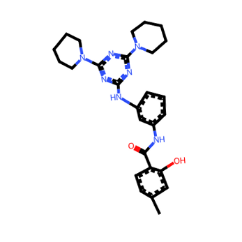 Cc1ccc(C(=O)Nc2cccc(Nc3nc(N4CCCCC4)nc(N4CCCCC4)n3)c2)c(O)c1